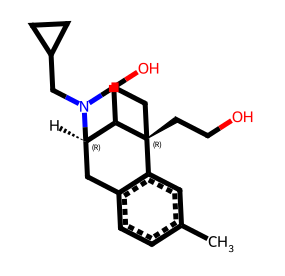 Cc1ccc2c(c1)[C@@]1(CCO)CCN(CC3CC3)[C@H](C2)C1CO